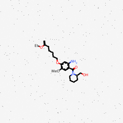 C=C(CCCCCOc1cc(N)c(C(=O)N2CCCCC2CO)cc1OC)OCC